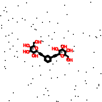 OC[C@H]1O[C@H](C#Cc2cccc(C#CC3O[C@H](CO)[C@@H](O)[C@H](O)[C@@H]3O)c2)[C@@H](O)[C@@H](O)[C@@H]1O